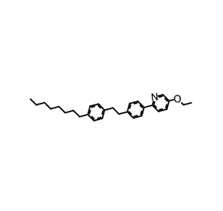 CCCCCCCCc1ccc(CCc2ccc(-c3ccc(OCC)cn3)cc2)cc1